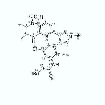 CC(NC(=O)O)C(C)Nc1nccc(-c2cn(C(C)C)nc2-c2cc(Cl)cc(NC(=O)OC(C)(C)C)c2F)n1